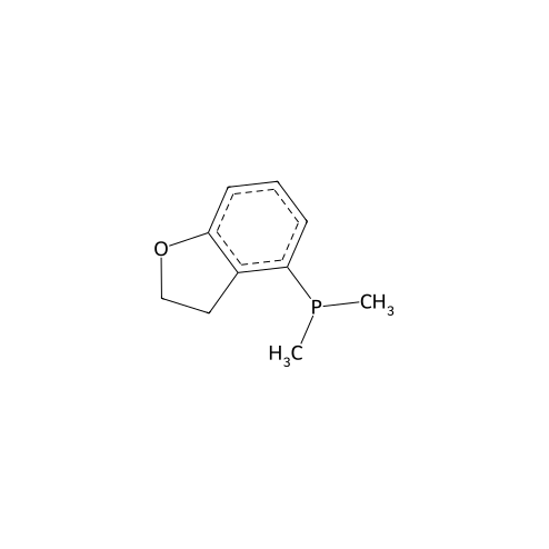 CP(C)c1cccc2c1CCO2